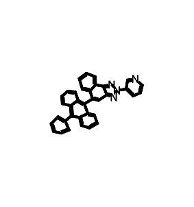 c1ccc(-c2c3ccccc3c(-c3cc4nn(-c5cccnc5)nc4c4ccccc34)c3ccccc23)cc1